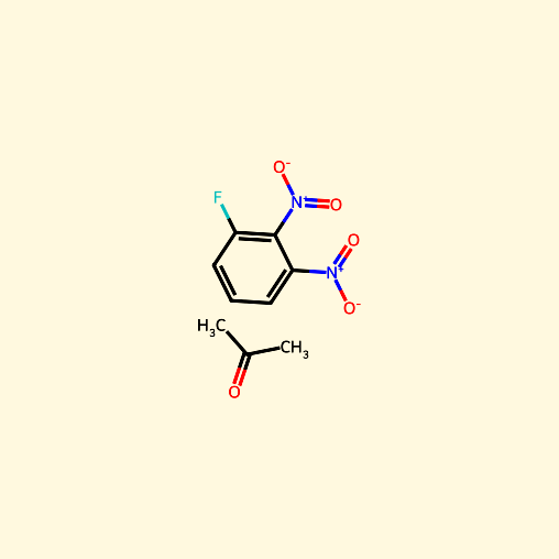 CC(C)=O.O=[N+]([O-])c1cccc(F)c1[N+](=O)[O-]